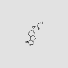 O=C(CCl)Nc1ccc2c(c1)Cc1cn[nH]c1-2